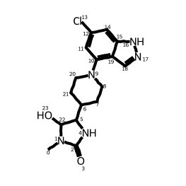 CN1C(=O)NC(C2CCN(c3cc(Cl)cc4[nH]ncc34)CC2)C1O